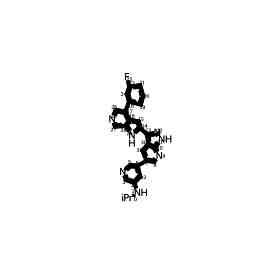 CC(C)Nc1cncc(-c2cnc3[nH]nc(-c4cc5c(-c6cccc(F)c6)cncc5[nH]4)c3c2)c1